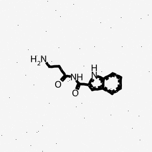 NCCC(=O)NC(=O)c1cc2ccccc2[nH]1